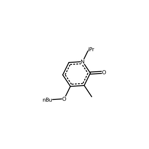 CCCCOc1ccn(C(C)C)c(=O)c1C